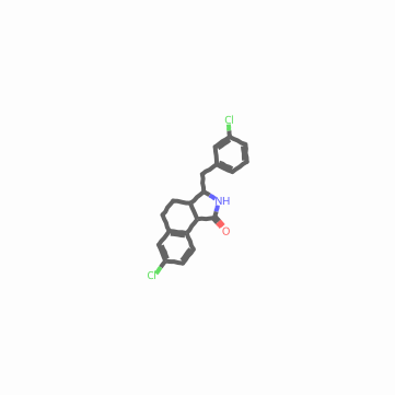 O=C1NC(Cc2cccc(Cl)c2)C2CCc3cc(Cl)ccc3C12